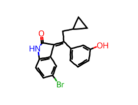 O=C1Nc2ccc(Br)cc2/C1=C(/CC1CC1)c1cccc(O)c1